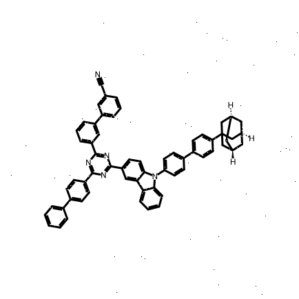 N#Cc1cccc(-c2cccc(-c3nc(-c4ccc(-c5ccccc5)cc4)nc(-c4ccc5c(c4)c4ccccc4n5-c4ccc(-c5ccc(C67C[C@H]8C[C@H](C6)C[C@@H](C7)C8)cc5)cc4)n3)c2)c1